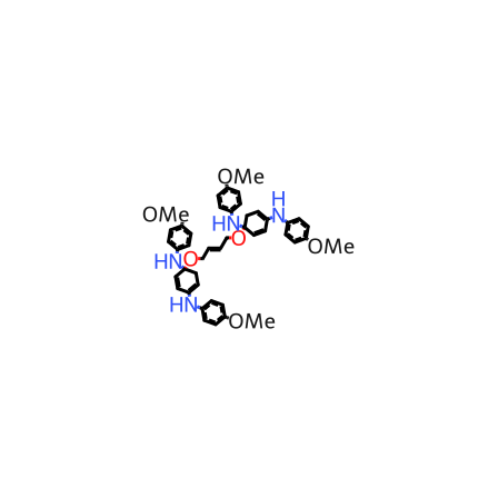 COc1ccc(NC2=CCC(Nc3ccc(OC)cc3)(OCC=CCOC3(Nc4ccc(OC)cc4)C=CC(Nc4ccc(OC)cc4)=CC3)C=C2)cc1